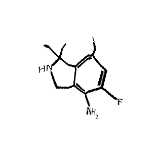 CC1(C)NCc2c(N)c(F)cc(I)c21